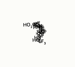 Cc1ccc2c(NCC(O)C(F)(F)F)cccc2c1Oc1ncccc1-c1ccnc(NC2CC(C)CN(C(=O)O)C2)n1